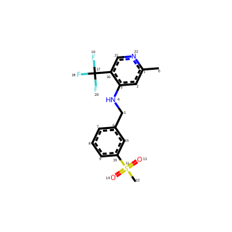 Cc1cc(NCc2cccc(S(C)(=O)=O)c2)c(C(F)(F)F)cn1